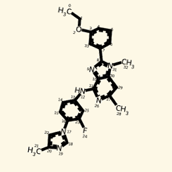 CCOc1cccc(-c2nc3c(Nc4ccc(-n5cnc(C)c5)c(F)c4)nc(C)cc3n2C)c1